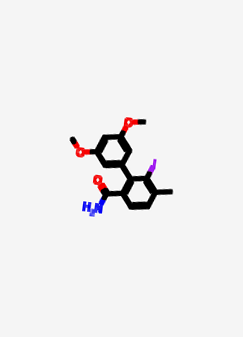 COc1cc(OC)cc(-c2c(C(N)=O)ccc(C)c2I)c1